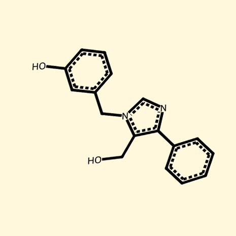 OCc1c(-c2ccccc2)ncn1Cc1cccc(O)c1